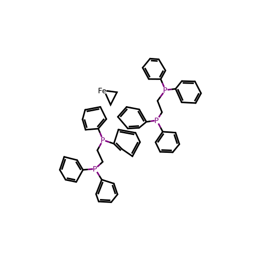 [CH2]1[CH2][Fe]1.c1ccc(P(CCP(c2ccccc2)c2ccccc2)c2ccccc2)cc1.c1ccc(P(CCP(c2ccccc2)c2ccccc2)c2ccccc2)cc1